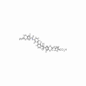 Cc1c(/C=C(\F)c2nc3c(n2C)CCN(C(C)C)C3)cccc1-c1cccc(NC(=O)c2nc3c(n2C)CCN(CC24CCC(C(=O)O)(CC2)C4)C3)c1C